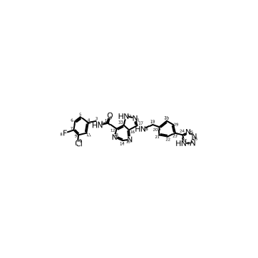 O=C(NCc1ccc(F)c(Cl)c1)c1ncnc2c(NCc3ccc(-c4nnn[nH]4)cc3)n[nH]c12